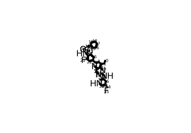 CCc1cc(-c2ccc(NS(=O)(=O)Cc3ccccc3)c(F)c2)nc2cnc(N[C@@H]3CNC[C@H](CF)C3)nc12